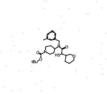 Cc1cccc(CN(C(=O)C(S)C2CCCOC2)C2CCN(C(=O)OC(C)(C)C)CC2)c1